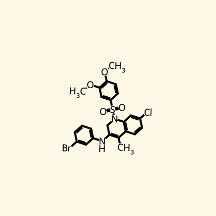 COc1ccc(S(=O)(=O)N2CC(Nc3cccc(Br)c3)=C(C)c3ccc(Cl)cc32)cc1OC